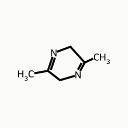 CC1=NCC(C)=NC1